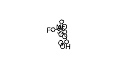 COc1c(OCc2cccc(C(=O)O)c2)cccc1C1SC(c2ccc(F)cc2)=NN1C(=O)c1ccccc1